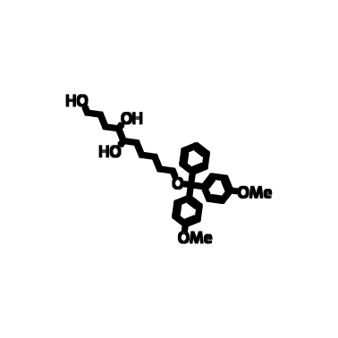 COc1ccc(C(OCCCCCC(O)C(O)CCCO)(c2ccccc2)c2ccc(OC)cc2)cc1